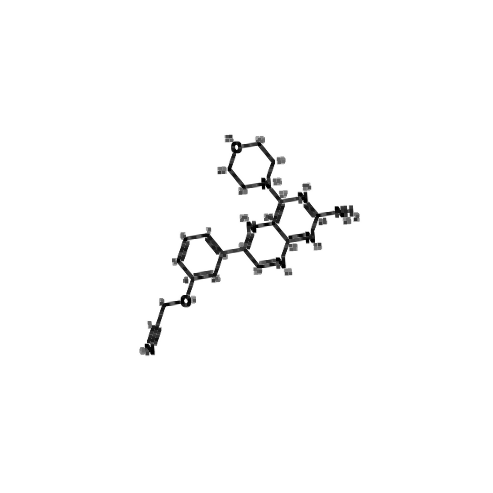 N#CCOc1cccc(-c2cnc3nc(N)nc(N4CCOCC4)c3n2)c1